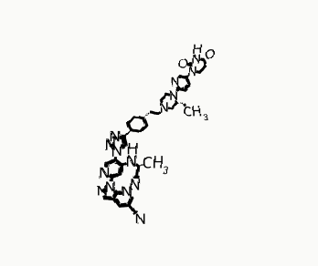 CC[C@@H]1CN(CC[C@H]2CC[C@H](c3cn(-c4cnc(-n5ncc6cc(C#N)cnc65)cc4N[C@H](C)C#N)nn3)CC2)CCN1c1ccc(N2CCC(=O)NC2=O)cn1